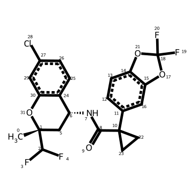 C[C@]1(C(F)F)C[C@@H](NC(=O)C2(c3ccc4c(c3)OC(F)(F)O4)CC2)c2ccc(Cl)cc2O1